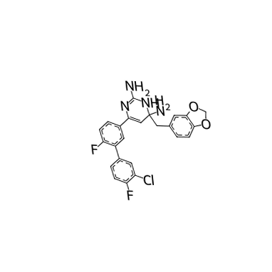 NC1=NC(c2ccc(F)c(-c3ccc(F)c(Cl)c3)c2)=CC(N)(Cc2ccc3c(c2)OCO3)N1